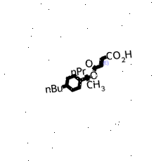 CCCCC1CCC(C(C)(CCC)OC(=O)/C=C/C(=O)O)CC1